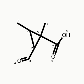 CC1C(C=O)C1(C)C(=O)O